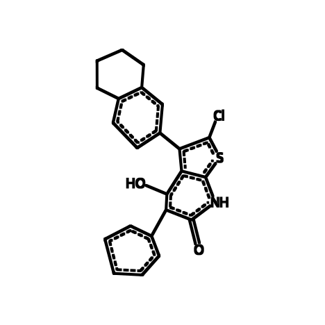 O=c1[nH]c2sc(Cl)c(-c3ccc4c(c3)CCCC4)c2c(O)c1-c1ccccc1